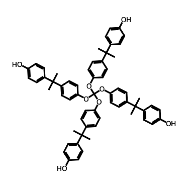 CC(C)(c1ccc(O)cc1)c1ccc(OC(Oc2ccc(C(C)(C)c3ccc(O)cc3)cc2)(Oc2ccc(C(C)(C)c3ccc(O)cc3)cc2)Oc2ccc(C(C)(C)c3ccc(O)cc3)cc2)cc1